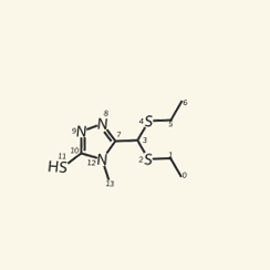 CCSC(SCC)c1nnc(S)n1C